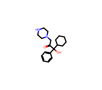 O=C(CN1CCNCC1)C(O)(c1ccccc1)C1CCCCC1